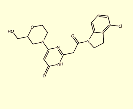 O=C(Cc1nc(N2CCOC(CO)C2)cc(=O)[nH]1)N1CCc2c(Cl)cccc21